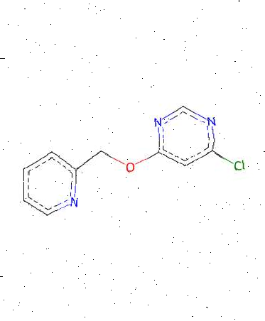 Clc1cc(OCc2ccccn2)ncn1